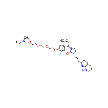 CN(C)COCCOCCOCCOc1ccc(C(CC(=O)O)N2CCN(CCCc3ccc4c(n3)NCCC4)C2=O)cc1F